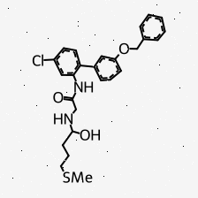 CSCCCC(O)NCC(=O)Nc1cc(Cl)ccc1-c1cccc(OCc2ccccc2)c1